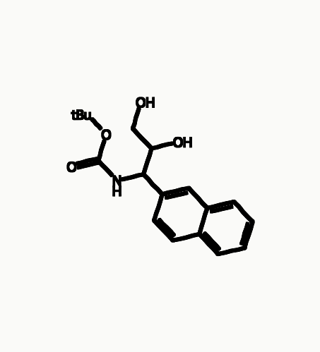 CC(C)(C)OC(=O)NC(c1ccc2ccccc2c1)C(O)CO